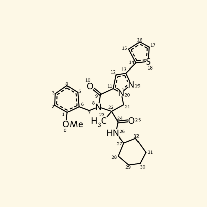 COc1ccccc1CN1C(=O)c2cc(-c3cccs3)nn2CC1(C)C(=O)NC1CCCCC1